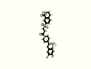 N[C@H](Cc1cc(F)c(F)cc1F)C1CCN(C(=O)CCS(=O)(=O)c2ccc3c(c2)C(=O)NCC3)CC1